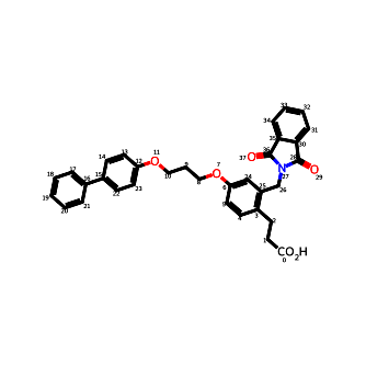 O=C(O)CCc1ccc(OCCCOc2ccc(-c3ccccc3)cc2)cc1CN1C(=O)c2ccccc2C1=O